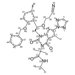 Cc1c(-n2nccn2)sc2c1c(=O)n(C(C)(C)C(=O)NC(C)C)c(=O)n2C[C@H](OCCC#N)c1cc(F)ccc1OCc1ccccc1